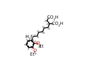 CCOc1cccc([SiH2]CCCCCC(CC(=O)O)C(=O)O)c1OCC